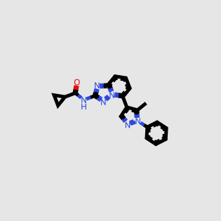 Cc1c(-c2cccc3nc(NC(=O)C4CC4)nn23)cnn1-c1ccccc1